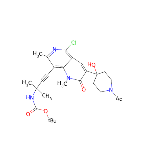 CC(=O)N1CCC(O)(c2cc3c(Cl)nc(C)c(C#CC(C)(C)NC(=O)OC(C)(C)C)c3n(C)c2=O)CC1